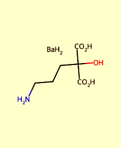 NCCCC(O)(C(=O)O)C(=O)O.[BaH2]